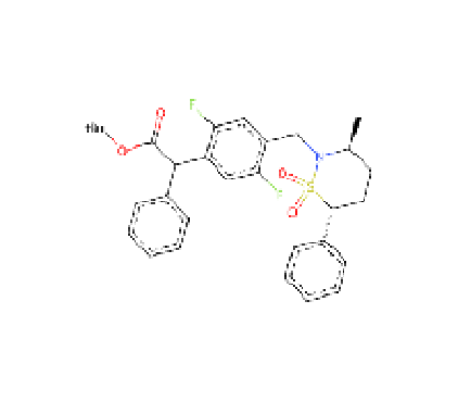 C[C@H]1CC[C@H](c2ccccc2)S(=O)(=O)N1Cc1cc(F)c(C(C(=O)OC(C)(C)C)c2ccccc2)cc1F